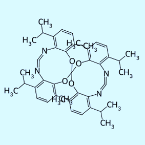 Cc1ccc(C(C)C)c2c1OC1(Oc3c(C)ccc(C(C)C)c3N=C=N2)Oc2c(C)ccc(C(C)C)c2N=C=Nc2c(C(C)C)ccc(C)c2O1